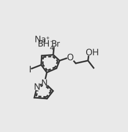 CC(O)COc1cc(-n2cccn2)c(I)cc1Br.[BH4-].[Na+]